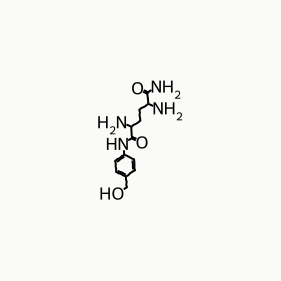 NC(=O)C(N)CCC(N)C(=O)Nc1ccc(CO)cc1